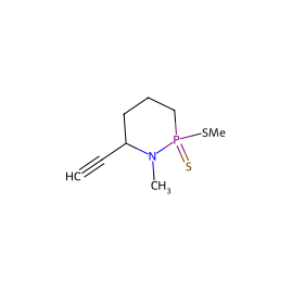 C#CC1CCCP(=S)(SC)N1C